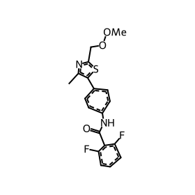 COOCc1nc(C)c(-c2ccc(NC(=O)c3c(F)cccc3F)cc2)s1